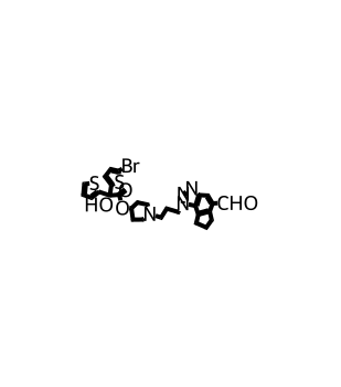 O=Cc1cc2nnn(CCCN3CCC(OC(=O)[C@](O)(c4cccs4)c4ccc(Br)s4)CC3)c2c2c1CCC2